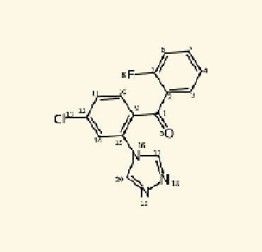 O=C(c1ccccc1F)c1ccc(Cl)cc1-n1cnnc1